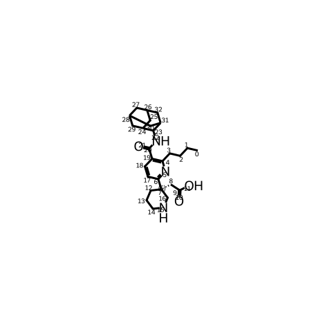 CCCCc1nc([C@]2(CC(=O)O)CCCNC2)ccc1C(=O)NC1C2CC3CC(C2)CC1C3